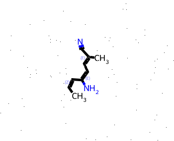 C\C=C/C(N)=C\C=C(/C)C#N